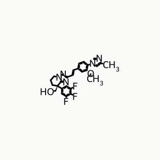 COc1cc(/C=C/c2nc3n(n2)CCC[C@@]3(CO)c2cc(F)c(F)c(F)c2)ccc1-n1cnc(C)c1